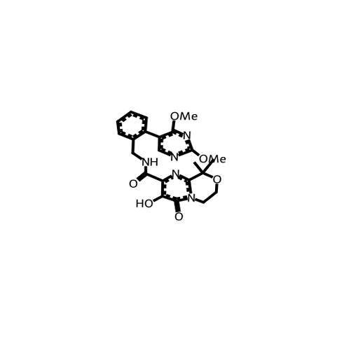 COc1ncc(-c2ccccc2CNC(=O)c2nc3n(c(=O)c2O)CCOC3(C)C)c(OC)n1